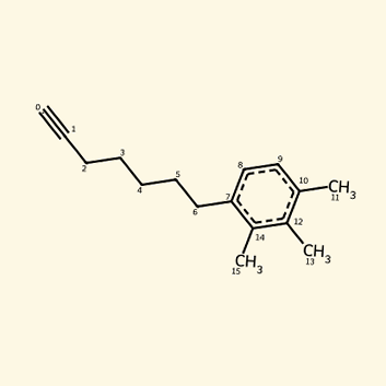 [C]#CCCCCCc1ccc(C)c(C)c1C